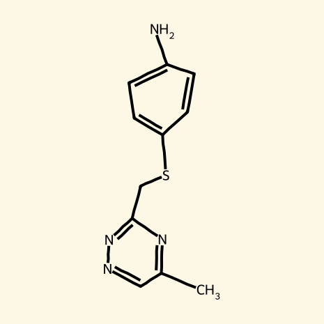 Cc1cnnc(CSc2ccc(N)cc2)n1